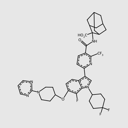 O=C(NC1(C(=O)O)C2CC3CC(C2)CC1C3)c1ccc(-c2cn(C3CCC(F)(F)CC3)c3c(F)c(OC4CCN(c5ncccn5)CC4)ccc23)nc1C(F)(F)F